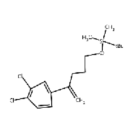 C=C(CCCO[Si](C)(C)C(C)(C)C)c1ccc(Cl)c(Cl)c1